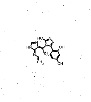 C=C/N=C1/NC=N/C1=C(/N)n1c(O)nnc1-c1ccc(O)cc1O